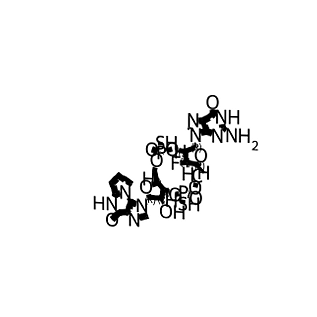 Nc1nc2c(ncn2[C@@H]2O[C@@H]3COP(=O)(S)O[C@H]4[C@@H](O)[C@H](n5cnc6c(=O)[nH]c7cccn7c65)O[C@@H]4COP(=O)(S)O[C@@H]2[C@@H]3F)c(=O)[nH]1